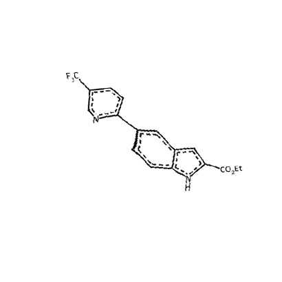 CCOC(=O)c1cc2cc(-c3ccc(C(F)(F)F)cn3)ccc2[nH]1